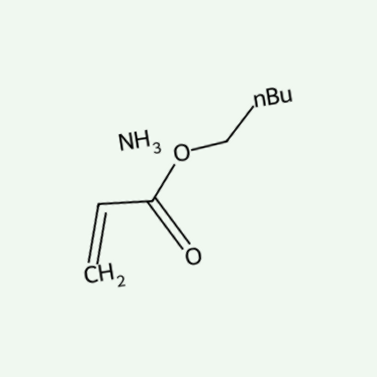 C=CC(=O)OCCCCC.N